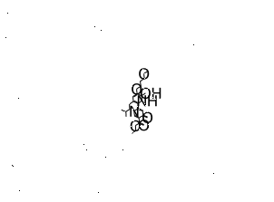 CCOC(=O)c1cn2c(cc1=O)C1=C(C=C(OCCCOC)C(O)N1)CC2C(C)C